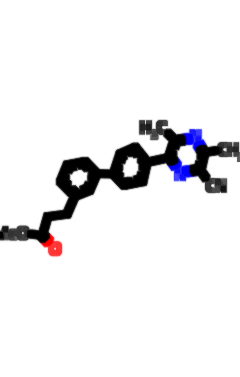 COC(=O)CCc1cccc(-c2ccc(-c3nc(C#N)c(C)nc3C)cc2)c1